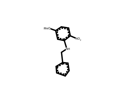 COc1ccc([N+](=O)[O-])c(NCc2ccccc2)c1